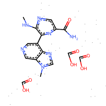 CNc1ncc(C(N)=O)nc1-c1cncc2c1ncn2C.O=CO.O=CO.O=CO